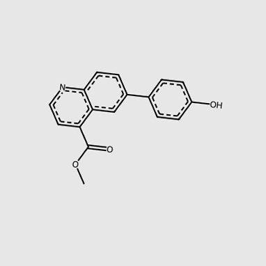 COC(=O)c1ccnc2ccc(-c3ccc(O)cc3)cc12